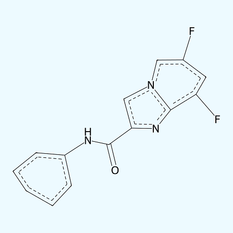 O=C(Nc1ccccc1)c1cn2cc(F)cc(F)c2n1